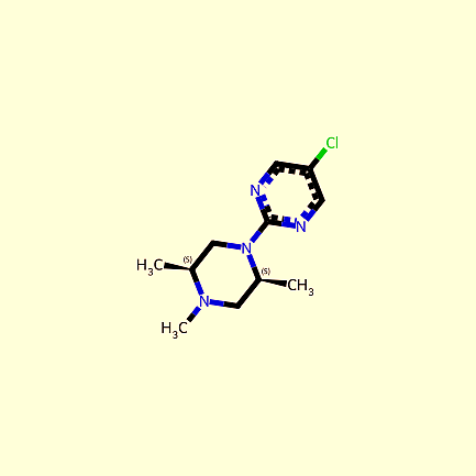 C[C@H]1CN(c2ncc(Cl)cn2)[C@@H](C)CN1C